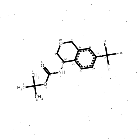 CC(C)(C)OC(=O)N[C@@H]1COCc2cc(C(F)(F)F)ccc21